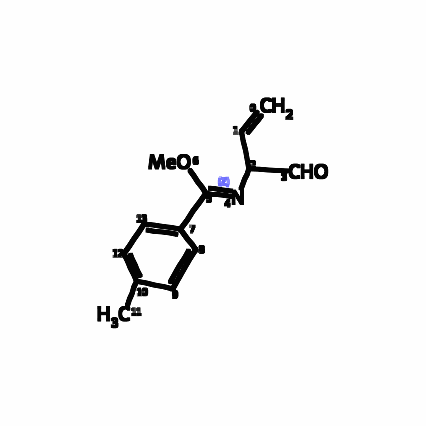 C=CC(C=O)/N=C(\OC)c1ccc(C)cc1